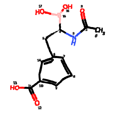 CC(=O)N[C@H](Cc1cccc(C(=O)O)c1)B(O)O